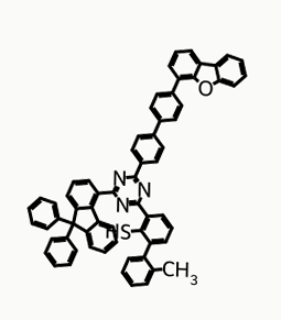 Cc1ccccc1-c1cccc(-c2nc(-c3ccc(-c4ccc(-c5cccc6c5oc5ccccc56)cc4)cc3)nc(-c3cccc4c3-c3ccccc3C4(c3ccccc3)c3ccccc3)n2)c1S